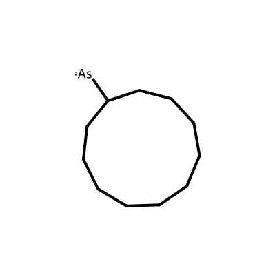 [As]C1CCCCCCCCCC1